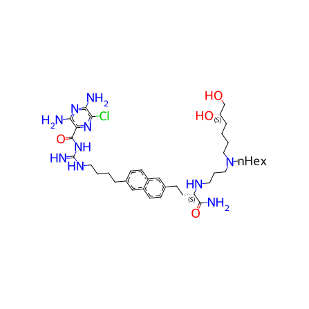 CCCCCCN(CCCC[C@H](O)CO)CCCN[C@@H](CCc1ccc2cc(CCCCNC(=N)NC(=O)c3nc(Cl)c(N)nc3N)ccc2c1)C(N)=O